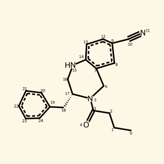 CCCC(=O)N1Cc2cc(C#N)ccc2NC[C@H]1Cc1ccccc1